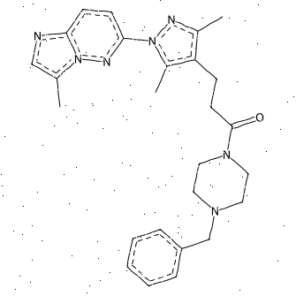 Cc1nn(-c2ccc3ncc(C)n3n2)c(C)c1CCC(=O)N1CCN(Cc2ccccc2)CC1